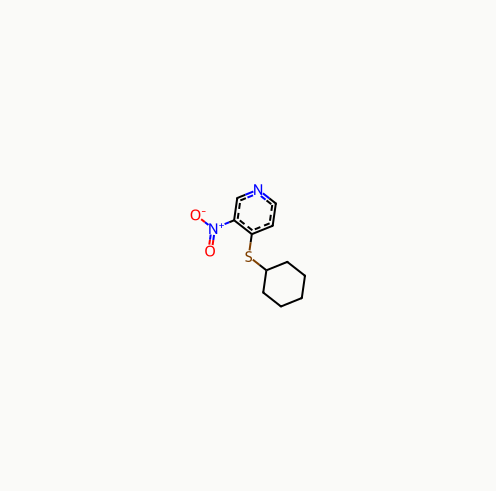 O=[N+]([O-])c1cnccc1SC1CCCCC1